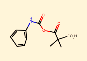 CC(C)(C(=O)O)C(=O)OC(=O)Nc1ccccc1